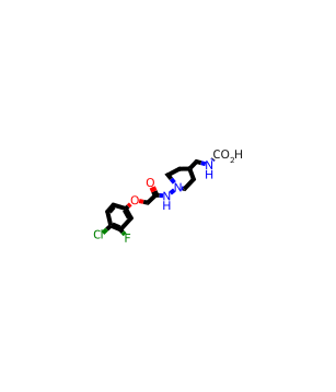 O=C(O)NCC1CCN(NC(=O)COc2ccc(Cl)c(F)c2)CC1